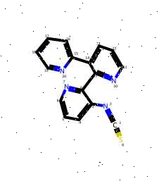 S=C=Nc1cccnc1-c1ncccc1-c1ccccn1